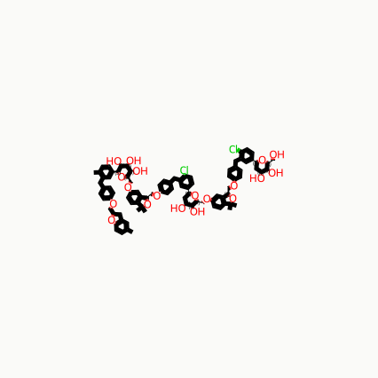 Cc1ccc2c(c1)CC(COc1ccc(Cc3cc([C@@H]4O[C@H](COc5ccc6c(c5)[C@H](COc5ccc(Cc7cc([C@H]8C[C@@H](O)[C@H](O)[C@@H](COc9ccc%10c(c9)[C@@H](COc9ccc(Cc%11cc([C@H]%12C[C@@H](O)[C@H](O)[C@@H](CO)O%12)ccc%11Cl)cc9)OC%10(C)C)O8)ccc7Cl)cc5)OC6(C)C)[C@@H](O)[C@H](O)[C@H]4O)ccc3C)cc1)O2